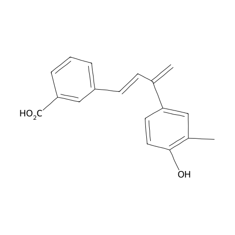 C=C(/C=C/c1cccc(C(=O)O)c1)c1ccc(O)c(C)c1